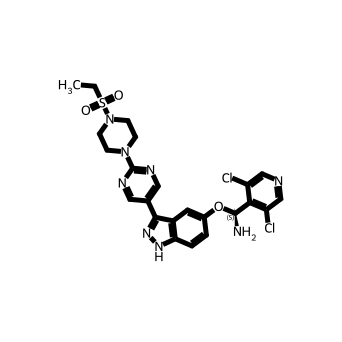 CCS(=O)(=O)N1CCN(c2ncc(-c3n[nH]c4ccc(O[C@H](N)c5c(Cl)cncc5Cl)cc34)cn2)CC1